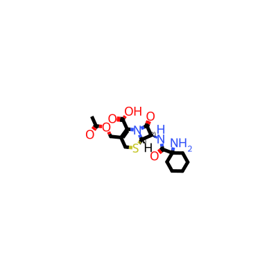 CC(=O)OCC1=C(C(=O)O)N2C(=O)[C@@H](NC(=O)C3(N)CCCCC3)[C@H]2SC1